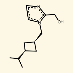 CC(C)[C@H]1C[C@@H](Cn2ccnc2CO)C1